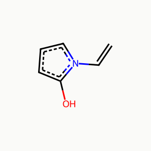 C=Cn1cccc1O